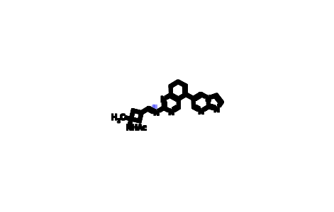 CC(=O)NC1(C)CC(/C=N/c2ncc3c(n2)CCC=C3c2cnc3nccn3c2)C1